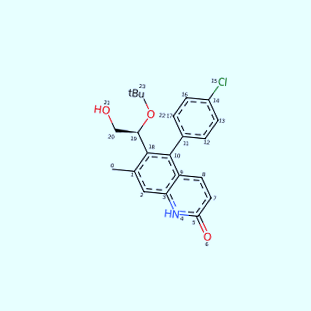 Cc1cc2[nH]c(=O)ccc2c(-c2ccc(Cl)cc2)c1[C@@H](CO)OC(C)(C)C